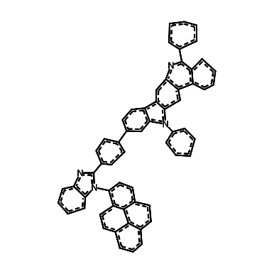 c1ccc(-c2nc3cc4c5ccc(-c6ccc(-c7nc8ccccc8n7-c7ccc8ccc9cccc%10ccc7c8c9%10)cc6)cc5n(-c5ccccc5)c4cc3c3ccccc23)cc1